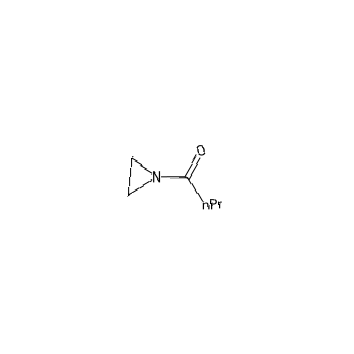 CCCC(=O)N1CC1